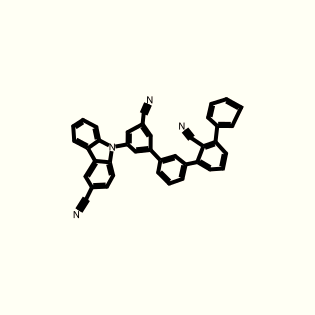 N#Cc1cc(-c2cccc(-c3cccc(-c4ccccc4)c3C#N)c2)cc(-n2c3ccccc3c3cc(C#N)ccc32)c1